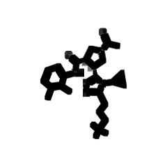 CC(=O)N1C[C@H](C(=O)Nc2cccc(C)c2C)[C@@H](c2nnc(CCCC(C)(C)C)n2C2CC2)C1